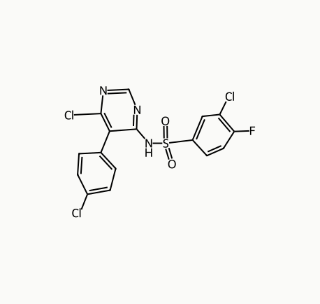 O=S(=O)(Nc1ncnc(Cl)c1-c1ccc(Cl)cc1)c1ccc(F)c(Cl)c1